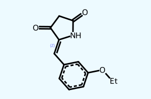 CCOc1cccc(/C=C2\NC(=O)CC2=O)c1